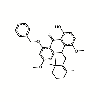 COc1cc(OCc2ccccc2)c2c(c1)[C@H](CC1=C(C)CCCC1(C)C)c1c(OC)ccc(O)c1C2=O